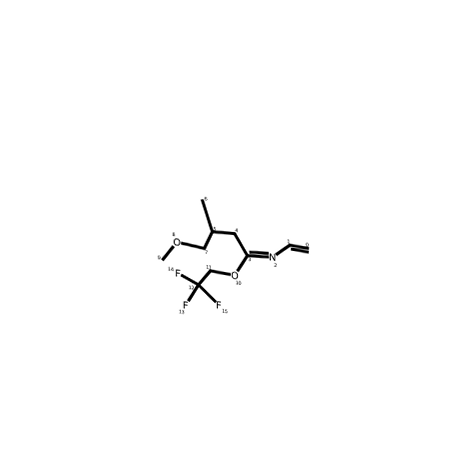 C=C/N=C(\CC(C)COC)OCC(F)(F)F